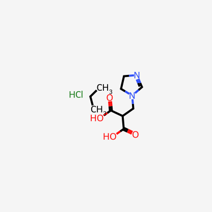 CCC.Cl.O=C(O)C(CN1C=NCC1)C(=O)O